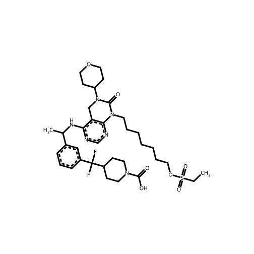 CCS(=O)(=O)OCCCCCCCN1C(=O)N(C2CCOCC2)Cc2c(NC(C)c3cccc(C(F)(F)C4CCN(C(=O)O)CC4)c3)ncnc21